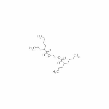 C=CCC(CCCC)S(=O)(=O)OCCOS(=O)(=O)C(CC=C)CCCC